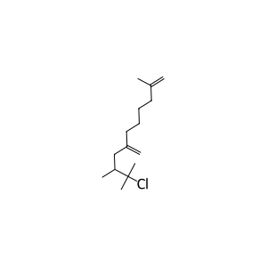 C=C(C)CCCCC(=C)CC(C)C(C)(C)Cl